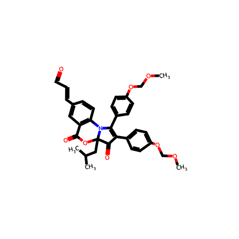 COCOc1ccc(C2=C(c3ccc(OCOC)cc3)N3c4ccc(/C=C/C=O)cc4C(=O)OC3(CC(C)C)C2=O)cc1